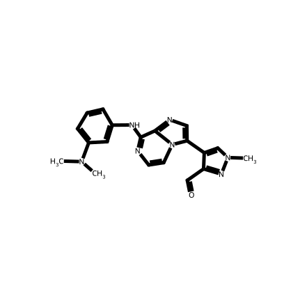 CN(C)c1cccc(Nc2nccn3c(-c4cn(C)nc4C=O)cnc23)c1